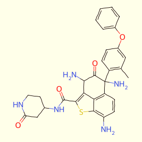 Cc1cc(Oc2ccccc2)ccc1C1(N)C(=O)C(N)c2c(C(=O)NC3CCNC(=O)C3)sc3c(N)ccc1c23